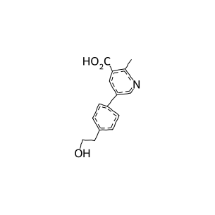 Cc1ncc(-c2ccc(CCO)cc2)cc1C(=O)O